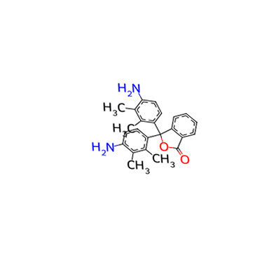 Cc1c(N)ccc(C2(c3ccc(N)c(C)c3C)OC(=O)c3ccccc32)c1C